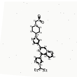 CCC(CC)n1cc(-c2nc(-c3cnn(C4CCN(C[SH](=O)=O)CC4)c3)cn3nccc23)cn1